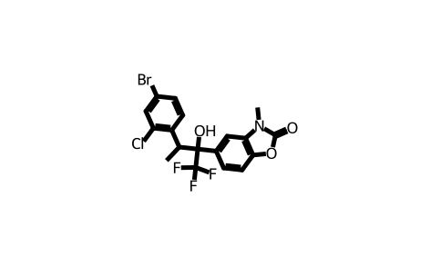 CC(c1ccc(Br)cc1Cl)C(O)(c1ccc2oc(=O)n(C)c2c1)C(F)(F)F